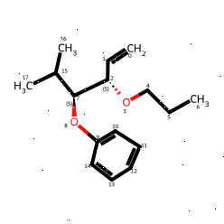 C=C[C@H](OCCC)[C@@H](Oc1ccccc1)C(C)C